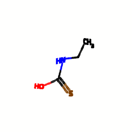 CCNC(O)=S